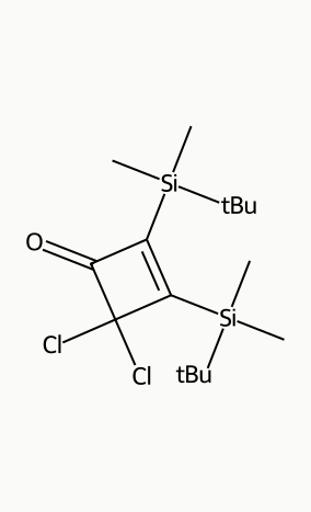 CC(C)(C)[Si](C)(C)C1=C([Si](C)(C)C(C)(C)C)C(Cl)(Cl)C1=O